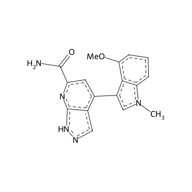 COc1cccc2c1c(-c1cc(C(N)=O)nc3[nH]ncc13)cn2C